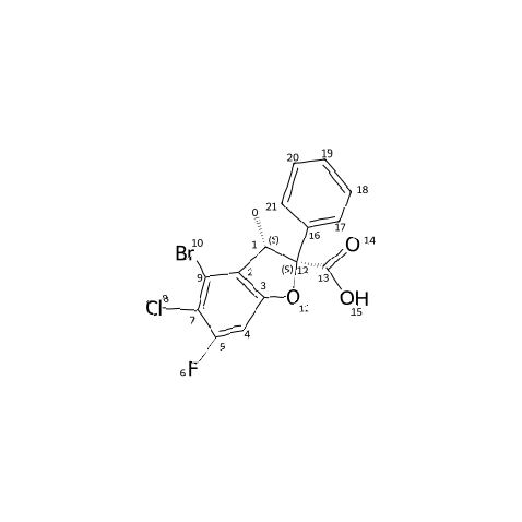 C[C@H]1c2c(cc(F)c(Cl)c2Br)O[C@]1(C(=O)O)c1ccccc1